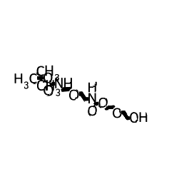 CC(C)(C)OC(=O)NCCOCCNC(=O)OCCOCCO